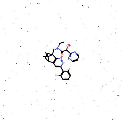 CCN(CC12CCC(c3cc(-c4c(F)cccc4F)nnc31)C2(C)C)C(=O)C(O)c1ncccn1